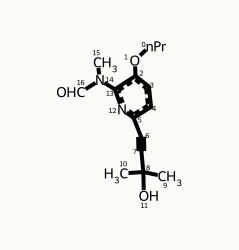 CCCOc1ccc(C#CC(C)(C)O)nc1N(C)C=O